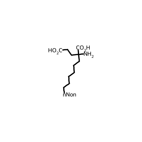 CCCCCCCCCCCCCCCC(N)(CCC(=O)O)C(=O)O